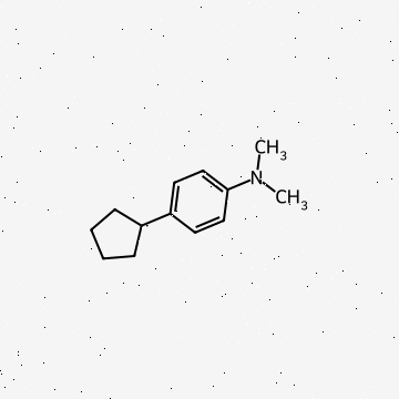 CN(C)c1ccc([C]2CCCC2)cc1